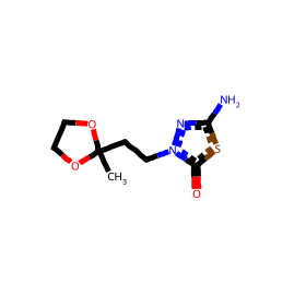 CC1(CCn2nc(N)sc2=O)OCCO1